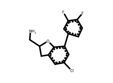 NCC1Cc2cc(Cl)cc(-c3ccc(F)c(F)c3)c2O1